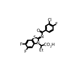 CCC(C(=O)O)n1/c(=N/C(=O)c2ccc(F)c(Cl)c2)sc2cc(F)c(F)cc21